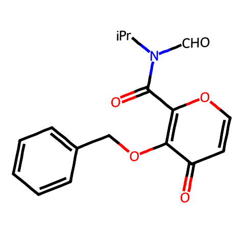 CC(C)N(C=O)C(=O)c1occc(=O)c1OCc1ccccc1